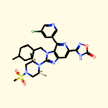 CC1CCC(Cn2c(N3[C@H](C)CN(S(C)(=O)=O)C[C@H]3C)nc3cc(-c4noc(=O)[nH]4)nc(-c4cncc(Cl)c4)c32)CC1